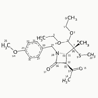 CCOC(OCC)[C@](C)(SC)[C@@H]1[C@@H](C(C)=O)C(=O)N1Cc1ccc(OC)cc1